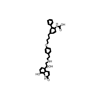 O=C(O)Nc1ccc(CCCCOc2ccc(CCNC[C@H](O)c3ccc(O)c4[nH]c(=O)ccc34)cc2)cc1-c1ccccc1